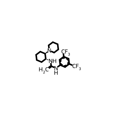 C=C(Nc1cc(C(F)(F)F)cc(C(F)(F)F)c1)N[C@@H]1CCCC[C@H]1N1CCCCC1